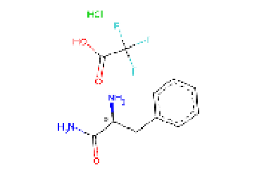 Cl.NC(=O)[C@@H](N)Cc1ccccc1.O=C(O)C(F)(F)F